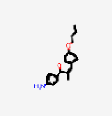 CCCCOc1ccc(C=C(C)C(=O)c2ccc(N)cc2)cc1